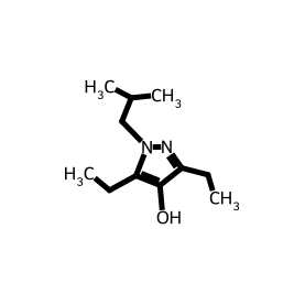 CCc1nn(CC(C)C)c(CC)c1O